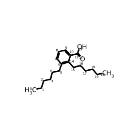 CCCCCCc1cccc(C(=O)O)c1CCCCCC